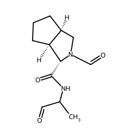 CC(C=O)NC(=O)[C@@H]1[C@H]2CCC[C@H]2CN1C=O